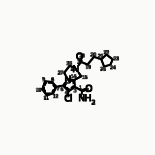 NC(=O)c1c(Cl)c(-c2ccccc2)n2c1CN(C(=O)CCC1CCCC1)CC2